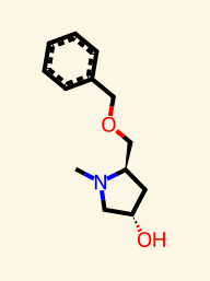 CN1C[C@@H](O)C[C@@H]1COCc1ccccc1